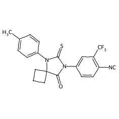 [C-]#[N+]c1ccc(N2C(=O)C3(CCC3)N(c3ccc(C)cc3)C2=S)cc1C(F)(F)F